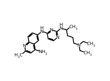 CCN(CC)CCCC(C)Nc1nccc(Nc2ccc3nc(C)cc(N)c3c2)n1